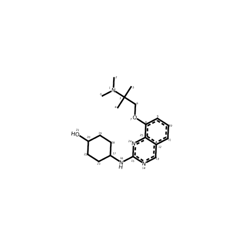 CN(C)C(C)(C)COc1cccc2cnc(NC3CCC(O)CC3)nc12